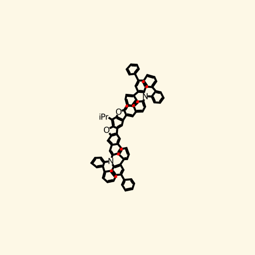 CC(C)c1c2oc3cc4cc(N(c5ccccc5-c5ccccc5)c5ccc(-c6ccccc6)cc5-c5ccccc5)ccc4cc3c2cc2c1oc1cc3cc(N(c4ccccc4-c4ccccc4)c4ccc(-c5ccccc5)cc4-c4ccccc4)ccc3cc12